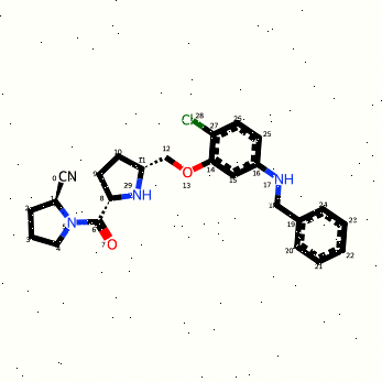 N#C[C@@H]1CCCN1C(=O)[C@@H]1CC[C@H](COc2cc(NCc3ccccc3)ccc2Cl)N1